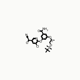 C[C@@H](CO[Si](C)(C)C(C)(C)C)Oc1cc(Oc2ncc(C(=O)C#N)cc2Cl)cc(C(N)=O)c1